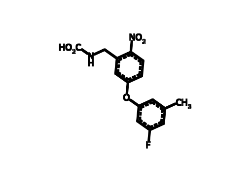 Cc1cc(F)cc(Oc2ccc([N+](=O)[O-])c(CNC(=O)O)c2)c1